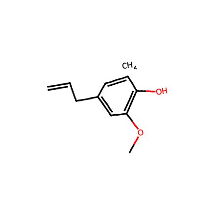 C.C=CCc1ccc(O)c(OC)c1